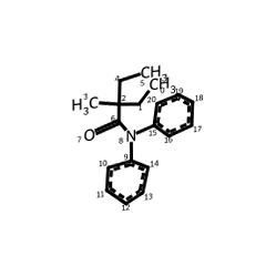 CCC(C)(CC)C(=O)N(c1ccccc1)c1ccccc1